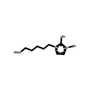 CCCCCCCCCCCCCCn1cc[n+](C(C)C)c1CCC